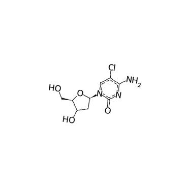 Nc1nc(=O)n([C@H]2CC(O)[C@@H](CO)O2)cc1Cl